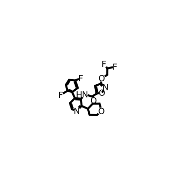 O=C(Nc1c(-c2cc(F)ccc2F)ccnc1C1CCOCC1)c1cc(OCC(F)F)no1